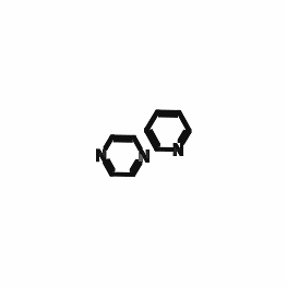 c1ccncc1.c1cnccn1